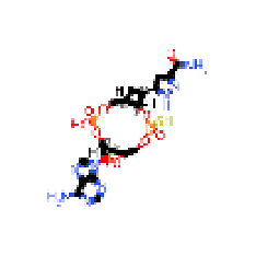 NC(=O)c1cc([C@@H]2C[C@@H]3COP(=O)(O)O[C@@H]4[C@H](F)C(COP(=O)(S)O[C@H]32)O[C@H]4n2cnc3c(N)ncnc32)[nH]n1